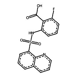 O=C(O)c1c(F)cccc1NS(=O)(=O)c1cccc2cccnc12